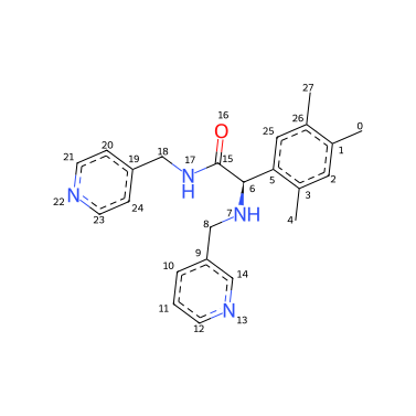 Cc1cc(C)c([C@@H](NCc2cccnc2)C(=O)NCc2ccncc2)cc1C